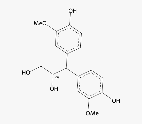 COc1cc(C(c2ccc(O)c(OC)c2)[C@H](O)CO)ccc1O